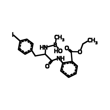 CCOC(=O)c1ccccc1NC(=O)C(Cc1ccc(I)cc1)NB(C)O